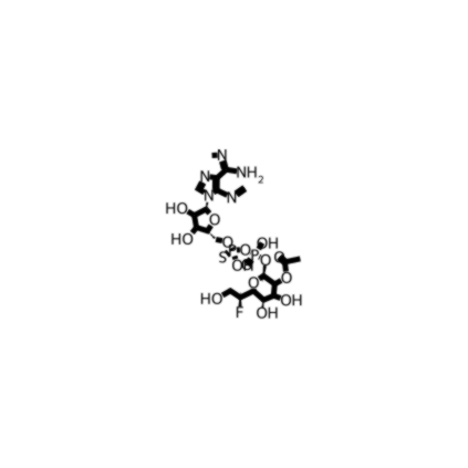 C=Nc1c(/C(N)=N\C)ncn1[C@@H]1O[C@H](COP(O)(=S)OP(=O)(O)O[C@@H]2OC([C@@H](F)CO)[C@@H](O)C(O)C2OC(C)=O)C(O)C1O